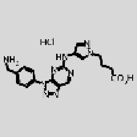 Cl.NCc1ccc(-n2nnc3cnc(Nc4cnn(CCCC(=O)O)c4)nc32)cc1